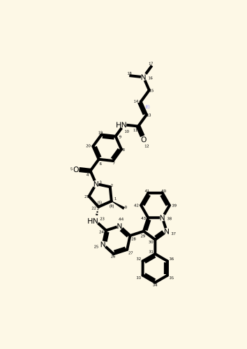 C[C@@H]1CN(C(=O)c2ccc(NC(=O)/C=C/CN(C)C)cc2)C[C@H]1Nc1nccc(-c2c(-c3ccccc3)nn3ccccc23)n1